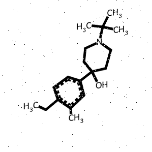 CCc1ccc(C2(O)CCN(C(C)(C)C)CC2)cc1C